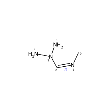 C/N=C\N(N)N